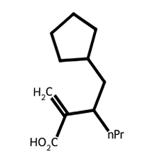 C=C(C(=O)O)C(CCC)CC1CCCC1